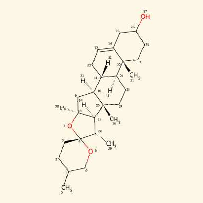 CC1CC[C@@]2(OC1)O[C@H]1C[C@H]3[C@@H]4CC=C5CC(O)CC[C@]5(C)[C@H]4CC[C@]3(C)[C@H]1[C@@H]2C